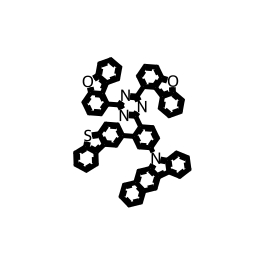 c1ccc2cc3c(cc2c1)c1ccccc1n3-c1ccc(-c2nc(-c3cccc4oc5ccccc5c34)nc(-c3cccc4oc5ccccc5c34)n2)c(-c2ccc3sc4ccccc4c3c2)c1